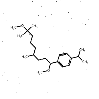 COC(CCC(C)CCCC(C)(C)OC)c1ccc(C(C)C)cc1